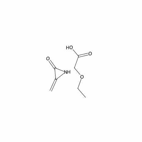 C=C1NC1=O.CCOCC(=O)O